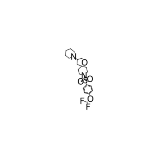 O=S(=O)(c1ccc(OC(F)F)cc1)N1CCC2(CC1)CC(N1CCCCC1)CO2